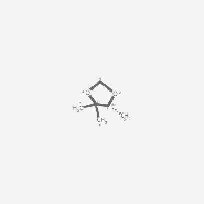 C[C@H]1OCOC1(C)C